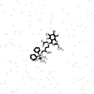 CSc1nc(N(CCC(O)CO[Si](c2ccccc2)(c2ccccc2)C(C)(C)C)CC(F)F)c2c(F)c(Cl)c(Br)c(F)c2n1